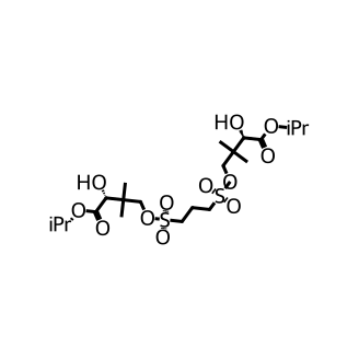 CC(C)OC(=O)[C@H](O)C(C)(C)COS(=O)(=O)CCCS(=O)(=O)OCC(C)(C)[C@@H](O)C(=O)OC(C)C